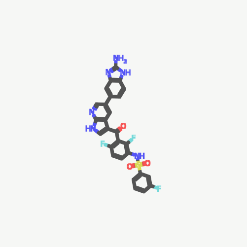 Nc1nc2cc(-c3cnc4[nH]cc(C(=O)c5c(F)ccc(NS(=O)(=O)c6cccc(F)c6)c5F)c4c3)ccc2[nH]1